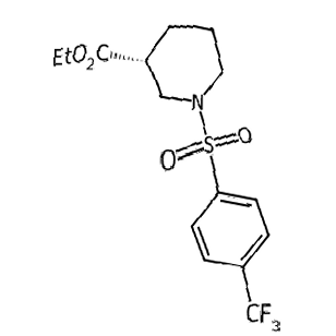 CCOC(=O)[C@@H]1CCCN(S(=O)(=O)c2ccc(C(F)(F)F)cc2)C1